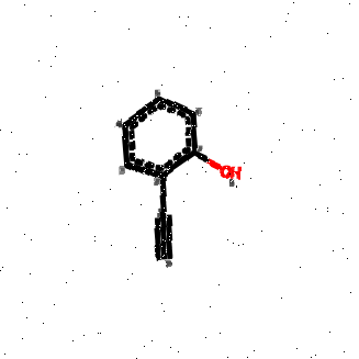 C#Cc1ccccc1O